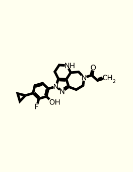 C=CC(=O)N1CCc2nn(-c3ccc(C4CC4)c(F)c3O)c3c2C(C1)NCC3